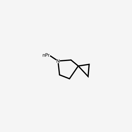 CCCN1CCC2(CC2)C1